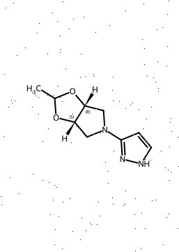 CC1O[C@H]2CN(c3cc[nH]n3)C[C@H]2O1